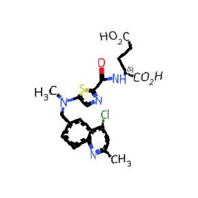 Cc1cc(Cl)c2cc(CN(C)c3cnc(C(=O)N[C@@H](CCC(=O)O)C(=O)O)s3)ccc2n1